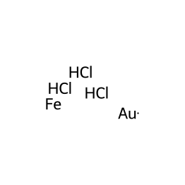 Cl.Cl.Cl.[Au].[Fe]